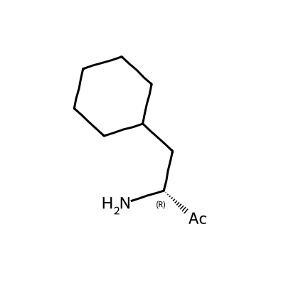 CC(=O)[C@H](N)CC1CCCCC1